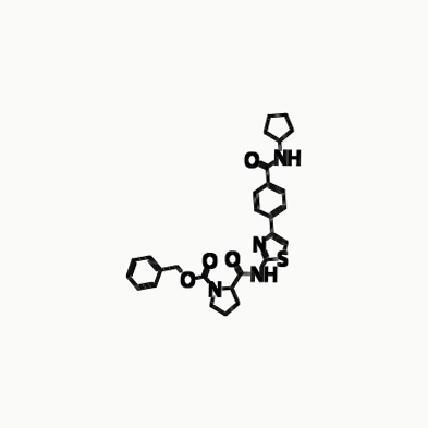 O=C(NC1CCCC1)c1ccc(-c2csc(NC(=O)C3CCCN3C(=O)OCc3ccccc3)n2)cc1